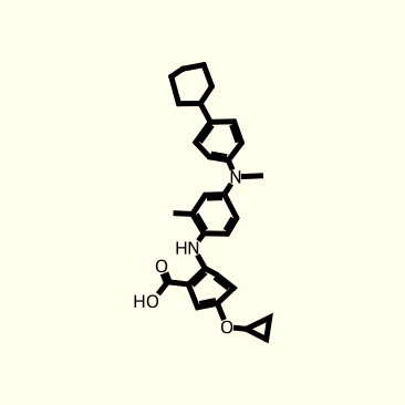 Cc1cc(N(C)c2ccc(C3CCCCC3)cc2)ccc1Nc1ccc(OC2CC2)cc1C(=O)O